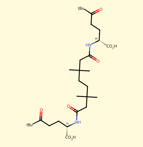 CC(C)(CCC(C)(C)CC(=O)N[C@H](CCC(=O)C(C)(C)C)C(=O)O)CC(=O)N[C@@H](CCC(=O)C(C)(C)C)C(=O)O